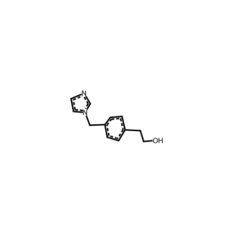 OCCc1ccc(Cn2ccnc2)cc1